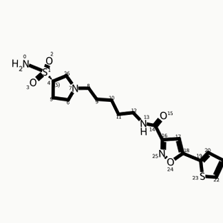 NS(=O)(=O)[C@H]1CCN(CCCCCNC(=O)c2cc(-c3cccs3)on2)C1